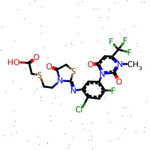 Cn1c(C(F)(F)F)cc(=O)n(-c2cc(N=C3SCC(=O)N3CCSCC(=O)O)c(Cl)cc2F)c1=O